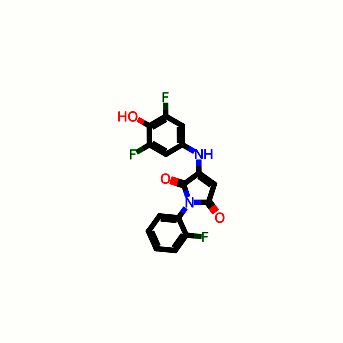 O=C1C=C(Nc2cc(F)c(O)c(F)c2)C(=O)N1c1ccccc1F